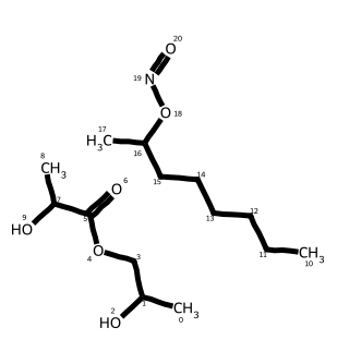 CC(O)COC(=O)C(C)O.CCCCCCC(C)ON=O